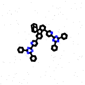 c1ccc(-c2nc(-c3ccccc3)nc(-c3ccc(-c4ccc5c(c4)C4(c6cccc(-c7ccc(-c8nc(-c9ccccc9)nc(-c9ccccc9)n8)nc7)c6-5)C5CC6CC(C5)CC4C6)cn3)n2)cc1